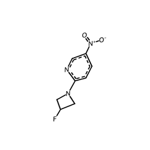 O=[N+]([O-])c1ccc(N2CC(F)C2)nc1